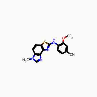 Cn1cnc2c3nc(Nc4ccc(C#N)cc4OC(F)(F)F)sc3ccc21